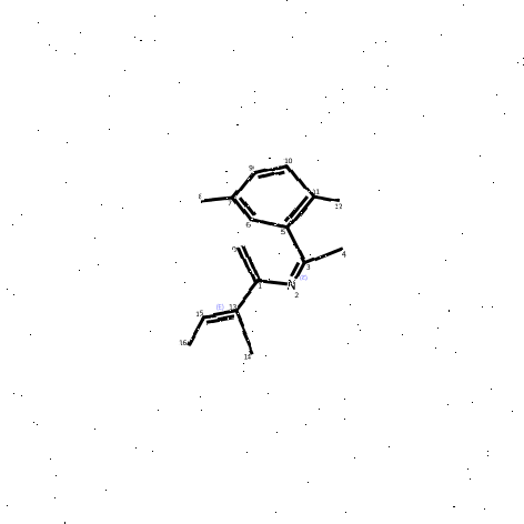 C=C(/N=C(/C)c1cc(C)ccc1C)/C(C)=C/C